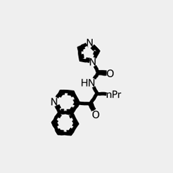 CCCC(NC(=O)n1ccnc1)C(=O)c1ccnc2ccccc12